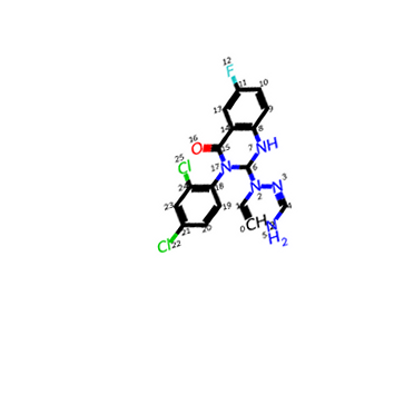 C=CN(/N=C\N)C1Nc2ccc(F)cc2C(=O)N1c1ccc(Cl)cc1Cl